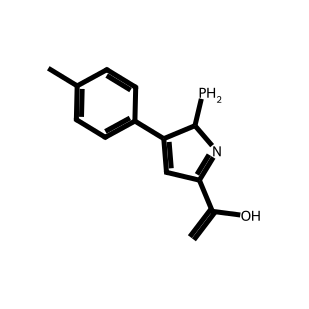 C=C(O)C1=NC(P)C(c2ccc(C)cc2)=C1